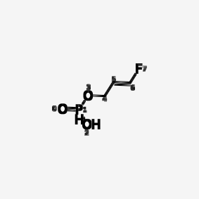 O=[PH](O)OCC=CF